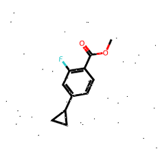 COC(=O)c1ccc(C2CC2)cc1F